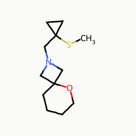 CSC1(CN2CC3(CCCCO3)C2)CC1